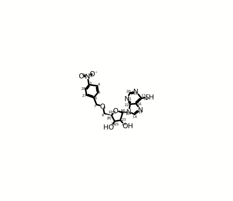 O=[N+]([O-])c1ccc(COC[C@H]2O[C@@H](n3cnc4c(S)ncnc43)C(O)C2O)cc1